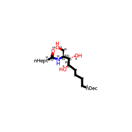 CCCCCCCCCCCCCC[C@@H](O)[C@@H](O)[C@H](CO)NC(=O)CCCCCCC